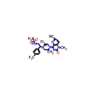 CC[C@@H]1CN(c2nc(=O)n(C)c3ccc(C#N)nc23)[C@@H](C)CN1C(CNS(C)(=O)=O)c1ccc(C(F)(F)F)cc1